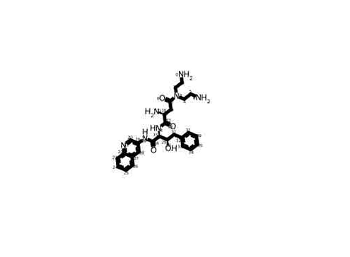 NCCN(CCN)C(=O)C[C@H](N)C(=O)N[C@H](C(=O)Nc1cnc2ccccc2c1)[C@H](O)Cc1ccccc1